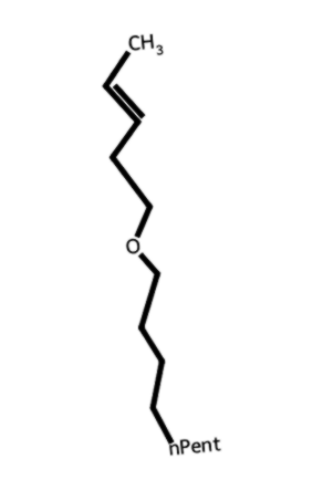 CC=CCCOCCCCCCCCC